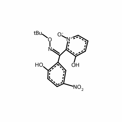 CC(C)(C)ON=C(c1cc([N+](=O)[O-])ccc1O)c1c(O)ccc[n+]1[O-]